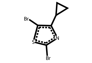 Brc1nc(C2CC2)c(Br)s1